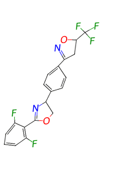 Fc1cccc(F)c1C1=NC(c2ccc(C3=NOC(C(F)(F)F)C3)cc2)CO1